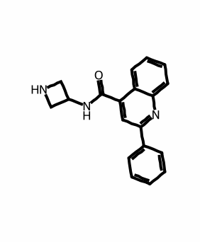 O=C(NC1CNC1)c1cc(-c2ccccc2)nc2ccccc12